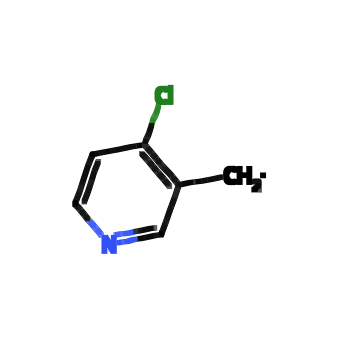 [CH2]c1cnccc1Cl